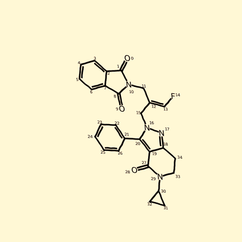 O=C1c2ccccc2C(=O)N1C/C(=C\F)Cn1nc2c(c1-c1ccccc1)C(=O)N(C1CC1)CC2